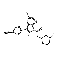 Cc1cnc2c(C(=O)CN3CCCC(F)C3)c(C)n(-c3ccc(C#N)cc3)c2c1